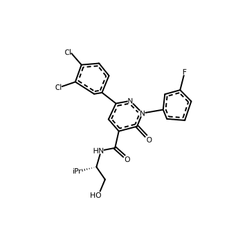 CC(C)[C@@H](CO)NC(=O)c1cc(-c2ccc(Cl)c(Cl)c2)nn(-c2cccc(F)c2)c1=O